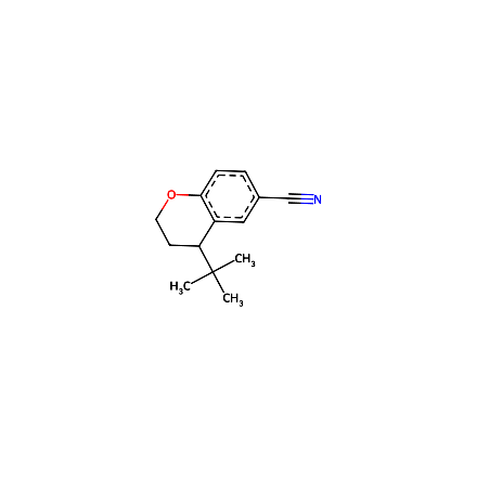 CC(C)(C)C1CCOc2ccc(C#N)cc21